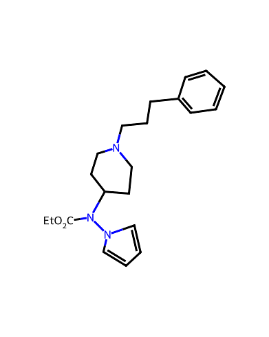 CCOC(=O)N(C1CCN(CCCc2ccccc2)CC1)n1cccc1